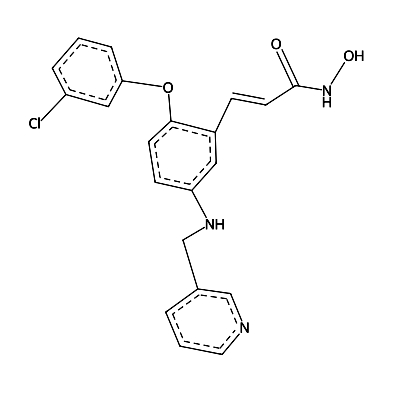 O=C(/C=C/c1cc(NCc2cccnc2)ccc1Oc1cccc(Cl)c1)NO